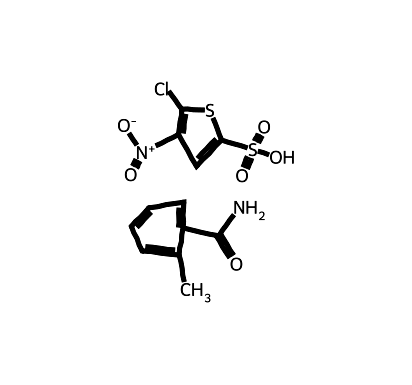 Cc1ccccc1C(N)=O.O=[N+]([O-])c1cc(S(=O)(=O)O)sc1Cl